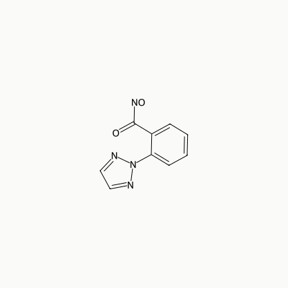 O=NC(=O)c1ccccc1-n1nccn1